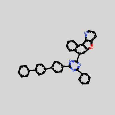 c1ccc(-c2ccc(-c3ccc(-c4nc(-c5ccccc5)nc(-c5cc6oc7cccnc7c6c6ccccc56)n4)cc3)cc2)cc1